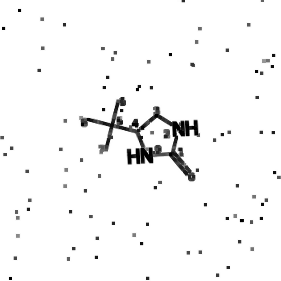 C=C1NCC(C(C)(C)C)N1